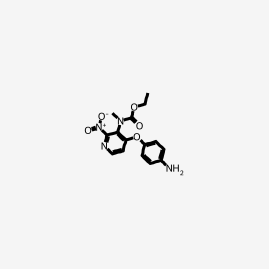 CCOC(=O)N(C)c1c(Oc2ccc(N)cc2)ccnc1[N+](=O)[O-]